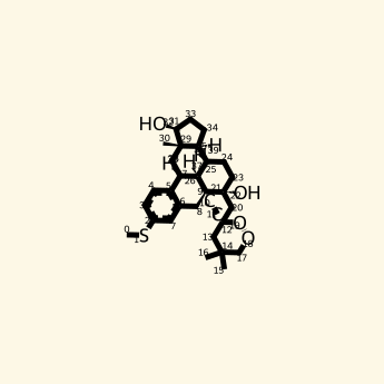 CSc1ccc2c(c1)C[C@]13CCC4(CC(C)(C)COO4)C[C@]1(O)CC[C@@H]1[C@@H]3[C@@H]2C[C@]2(C)[C@@H](O)CC[C@@H]12